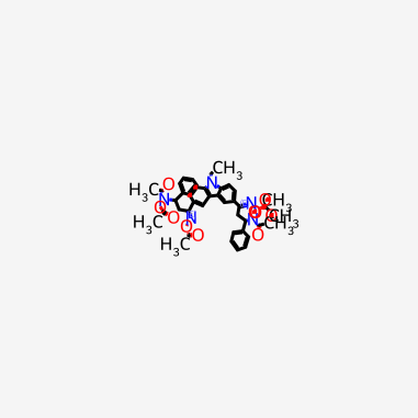 CCn1c2ccc(/C(CC(c3ccccc3)N(OC(C)=O)C(C)=O)=N/OC(C)=O)cc2c2cc(/C(CC(c3ccccc3)N(OC(C)=O)C(C)=O)=N/OC(C)=O)ccc21